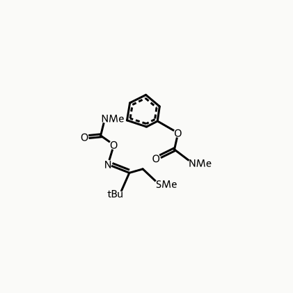 CNC(=O)ON=C(CSC)C(C)(C)C.CNC(=O)Oc1ccccc1